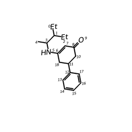 CCC(CC)C(C)NC1=CC(=O)CC(c2ccccc2)C1